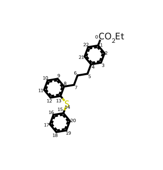 CCOC(=O)c1ccc(CCCc2ccccc2Sc2ccccc2)cc1